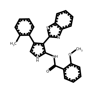 COc1ccccc1C(=O)Nc1[nH]cc(-c2ccccc2C)c1-c1nc2ccccc2s1